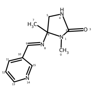 CN1C(=O)NCC1(C)N=Cc1cccnc1